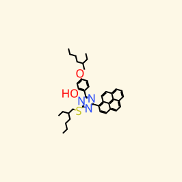 CCCCC(CC)COc1ccc(-c2nc(SCC(CC)CCCC)nc(-c3ccc4ccc5cccc6ccc3c4c56)n2)c(O)c1